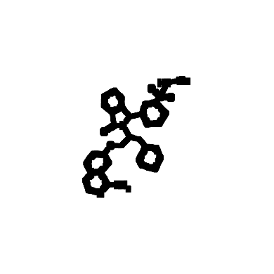 CC(C)(C)NS(=O)(=O)c1cccc(C2c3ccccc3C(=O)N2C(COc2ccc3ccnc(N)c3c2)Cc2ccccc2)c1